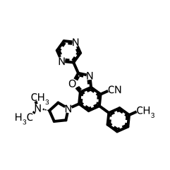 Cc1cccc(-c2cc(N3CC[C@H](N(C)C)C3)c3oc(-c4cnccn4)nc3c2C#N)c1